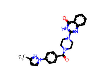 O=C(c1ccc(-n2ccc(C(F)(F)F)n2)cc1)N1CCN(c2nc3ccccc3c(=O)[nH]2)CC1